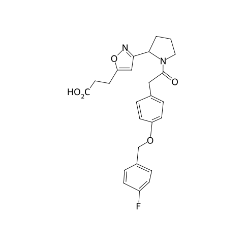 O=C(O)CCc1cc(C2CCCN2C(=O)Cc2ccc(OCc3ccc(F)cc3)cc2)no1